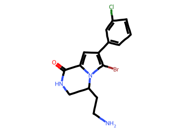 NCCC1CNC(=O)c2cc(-c3cccc(Cl)c3)c(Br)n21